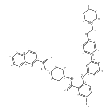 O=C(N[C@H]1CC[C@H](NC(=O)c2cc(F)cnc2Oc2cccc(-c3ccc(CCN4CCNCC4)cc3)c2)CC1)c1cnc2ccccc2n1